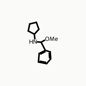 COC(NC1CCCC1)c1ccccc1